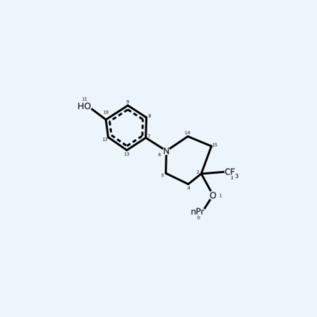 CCCOC1(C(F)(F)F)CCN(c2ccc(O)cc2)CC1